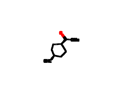 COC(=O)[C@H]1CC[C@@H](C=O)CC1